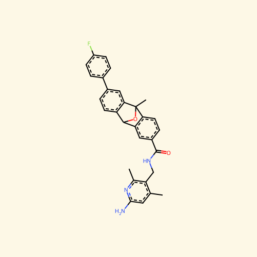 Cc1cc(N)nc(C)c1CNC(=O)c1ccc2c(c1)C1OC2(C)c2cc(-c3ccc(F)cc3)ccc21